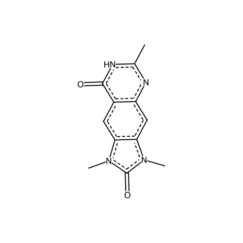 Cc1nc2cc3c(cc2c(=O)[nH]1)n(C)c(=O)n3C